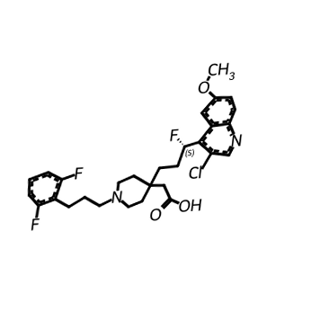 COc1ccc2ncc(Cl)c([C@@H](F)CCC3(CC(=O)O)CCN(CCCc4c(F)cccc4F)CC3)c2c1